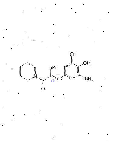 CCC/C(=C\c1cc(N)c(O)c(O)c1)C(=O)N1CCCCC1